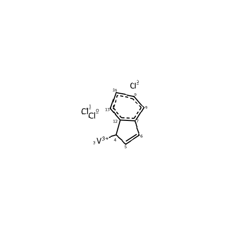 [Cl-].[Cl-].[Cl-].[V+3][CH]1C=Cc2ccccc21